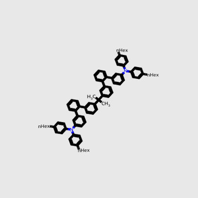 CCCCCCc1ccc(N(c2ccc(CCCCCC)cc2)c2cccc(-c3ccccc3-c3cccc(C(C)(C)c4cccc(-c5ccccc5-c5cccc(N(c6ccc(CCCCCC)cc6)c6ccc(CCCCCC)cc6)c5)c4)c3)c2)cc1